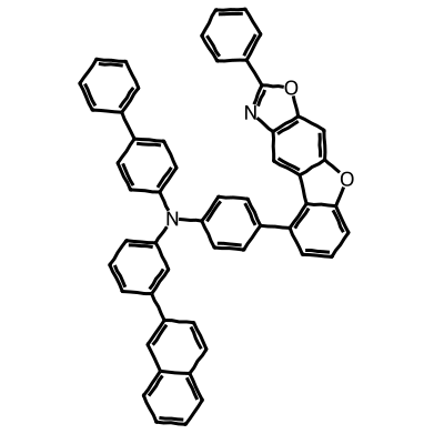 c1ccc(-c2ccc(N(c3ccc(-c4cccc5oc6cc7oc(-c8ccccc8)nc7cc6c45)cc3)c3cccc(-c4ccc5ccccc5c4)c3)cc2)cc1